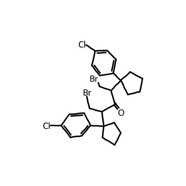 O=C(C(CBr)C1(c2ccc(Cl)cc2)CCCC1)C(CBr)C1(c2ccc(Cl)cc2)CCCC1